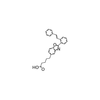 O=C(O)CCCCc1ccc2oc(-c3ccccc3C=Cc3ccccc3)nc2c1